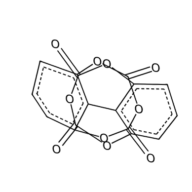 O=C1OC(=O)Oc2cccc(c2-c2c3cccc2OC(=O)OC(=O)O3)O1